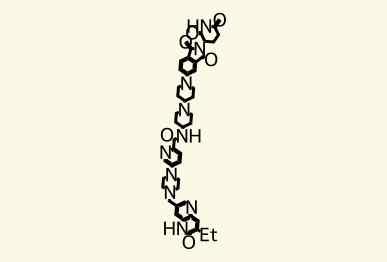 CCc1cc2ncc(CN3CCN(c4ccc(C(=O)NC5CCN(C6CCN(c7ccc8c(c7)C(=O)N(C7CCC(=O)NC7=O)C8=O)CC6)CC5)nc4)CC3)cc2[nH]c1=O